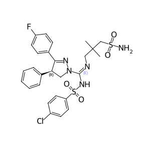 CC(C)(C/N=C(/NS(=O)(=O)c1ccc(Cl)cc1)N1C[C@@H](c2ccccc2)C(c2ccc(F)cc2)=N1)CS(N)(=O)=O